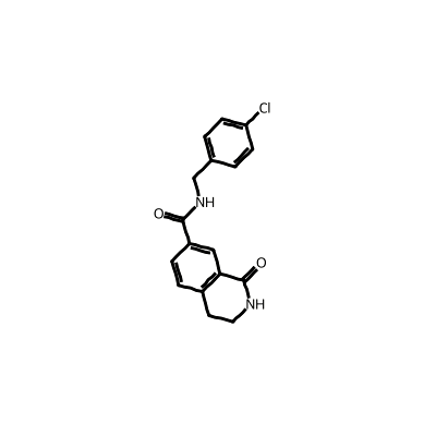 O=C(NCc1ccc(Cl)cc1)c1ccc2c(c1)C(=O)NCC2